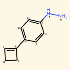 NNc1ccc(C2=CCC2)cc1